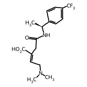 C[C@H](NC(=O)C/C(=C\CN(C)C)C(=O)O)c1ccc(C(F)(F)F)cc1